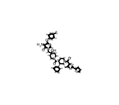 Cc1nc(-c2cccs2)sc1C(=O)N1CC[C@@H](C(=O)N2CCC(O)(Cn3cnc(Oc4ccc(F)cc4)c(N)c3=O)CC2)[C@H](c2ccccc2)C1